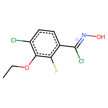 CCOc1c(Cl)ccc(/C(Cl)=N/O)c1F